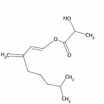 C=C(C=COC(=O)C(C)O)CCCC(C)C